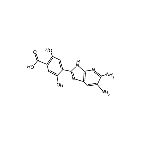 Nc1cc2nc(-c3cc(O)c(C(=O)O)cc3O)[nH]c2nc1N